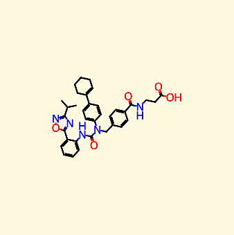 CC(C)c1noc(-c2ccccc2NC(=O)N(Cc2ccc(C(=O)NCCC(=O)O)cc2)c2ccc(C3=CCCCC3)cc2)n1